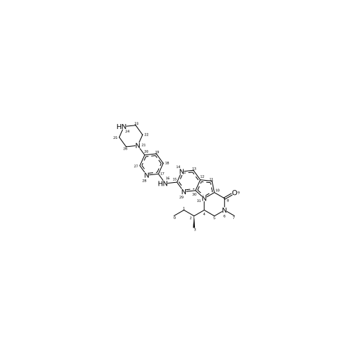 CC[C@H](C)C1CN(C)C(=O)c2cc3cnc(Nc4ccc(N5CCNCC5)cn4)nc3n21